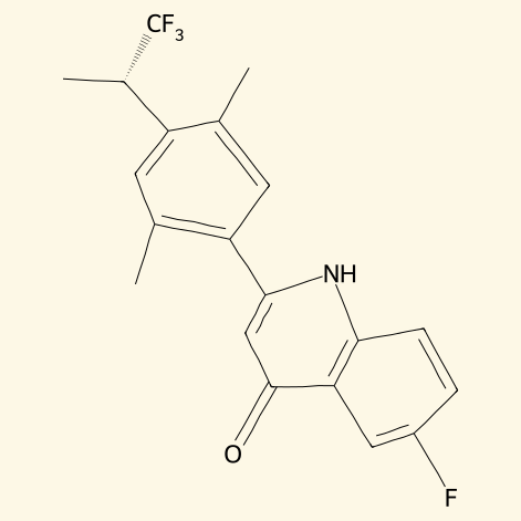 Cc1cc([C@H](C)C(F)(F)F)c(C)cc1-c1cc(=O)c2cc(F)ccc2[nH]1